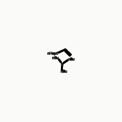 C=CCCCCCCC.CCCCN(CCCC)CCCC